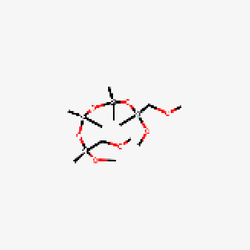 COC[Si](C)(OC)O[Si](C)(C)O[Si](C)(C)O[Si](C)(COC)OC